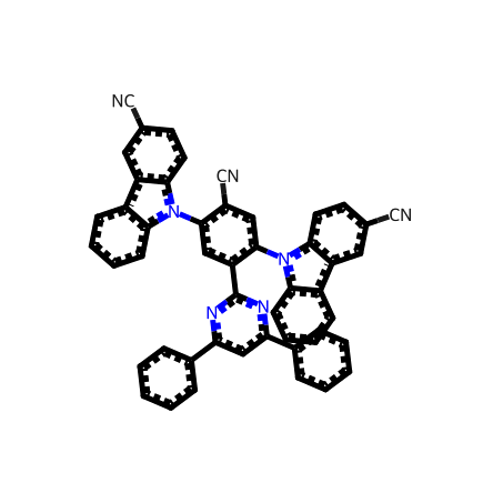 N#Cc1ccc2c(c1)c1ccccc1n2-c1cc(-c2nc(-c3ccccc3)cc(-c3ccccc3)n2)c(-n2c3ccccc3c3cc(C#N)ccc32)cc1C#N